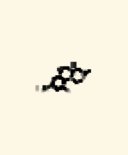 Cc1cc(N)cc2c1N1CCN(C)C[C@@H]1CO2